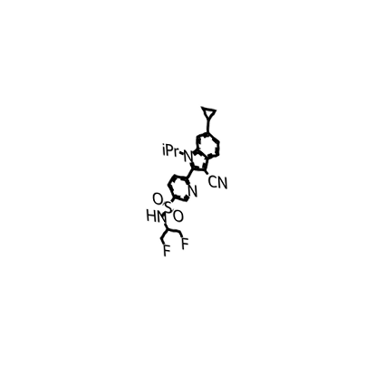 CC(C)n1c(-c2ccc(S(=O)(=O)NC(CF)CF)cn2)c(C#N)c2ccc(C3CC3)cc21